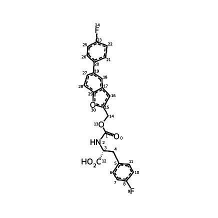 O=C(N[C@H](Cc1ccc(F)cc1)C(=O)O)OCc1cc2cc(-c3ccc(F)cc3)ccc2o1